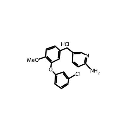 COc1ccc(Cc2ccc(N)nc2)cc1Oc1cccc(Cl)c1.Cl